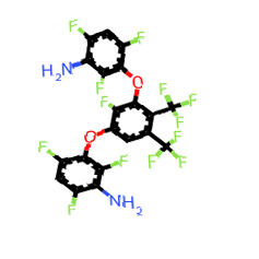 Nc1c(F)cc(F)c(Oc2cc(C(F)(F)F)c(C(F)(F)F)c(Oc3c(F)cc(F)c(N)c3F)c2F)c1F